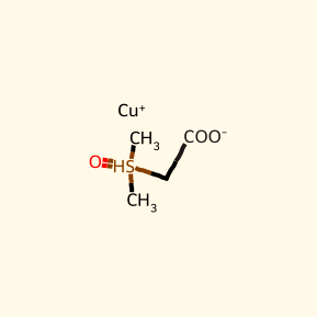 C[SH](C)(=O)CC(=O)[O-].[Cu+]